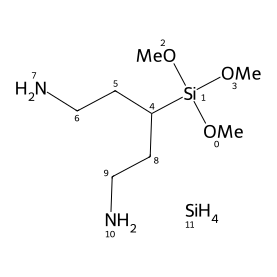 CO[Si](OC)(OC)C(CCN)CCN.[SiH4]